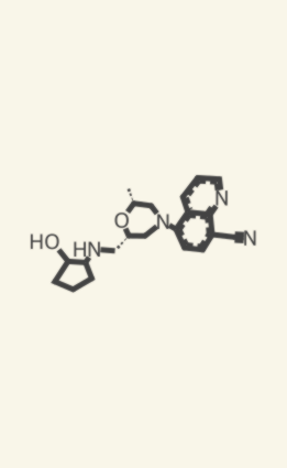 C[C@@H]1CN(c2ccc(C#N)c3ncccc23)C[C@H](CNC2CCCC2O)O1